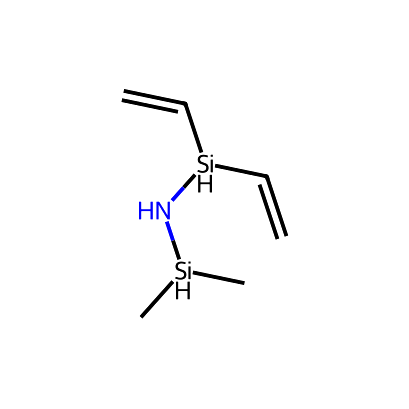 C=C[SiH](C=C)N[SiH](C)C